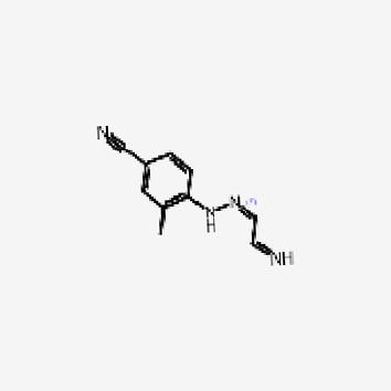 Cc1cc(C#N)ccc1N/N=C\C=N